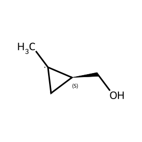 C[C]1C[C@@H]1CO